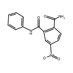 NC(=O)c1ccc([N+](=O)[O-])cc1C(=O)Nc1ccccc1